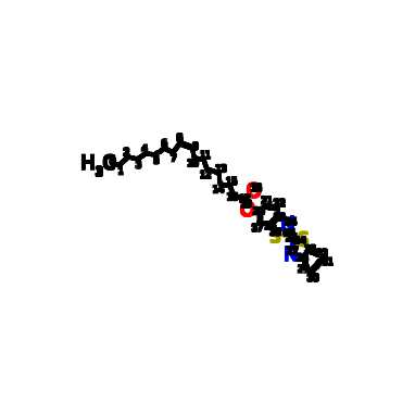 CCCCCCCC/C=C\CCCCCCCC(=O)Oc1ccc2nc(-c3nc4ccccc4s3)sc2c1